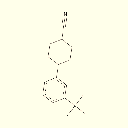 CC(C)(C)c1cccc([C]2CCC(C#N)CC2)c1